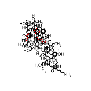 CC[C@H](C)[C@H](NC(=O)[C@H](Cc1ccc(O)cc1)NC(=O)[C@H](CCC(=O)O)NC(=O)[C@H](CC(C)C)NC(=O)CNC(=O)[C@H](CCCCN)NC(=O)CN)C(=O)NCC(=O)N[C@@H](Cc1c[nH]c2ccccc12)C(=O)N[C@H](C(=O)N[C@@H](CO)C(=O)N[C@@H](C)C(=O)NCC(=O)NCC(=O)N[C@H](C(=O)N[C@H](C(=O)N[C@@H](Cc1ccc(O)cc1)C(=O)N[C@@H](Cc1ccc(O)cc1)C(=O)N[C@@H](C)C(=O)N[C@@H](CO)C(=O)O)[C@@H](C)O)[C@@H](C)O)[C@@H](C)CC